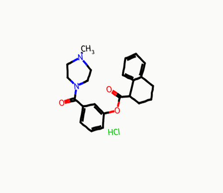 CN1CCN(C(=O)c2cccc(OC(=O)C3CCCc4ccccc43)c2)CC1.Cl